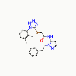 Cc1cccc(-n2nnnc2SCC(=O)Nc2ccnn2CCc2ccccc2)c1C